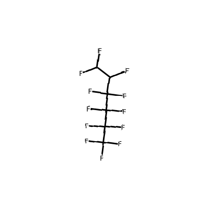 FC(F)C(F)C(F)(F)C(F)(F)C(F)(F)C(F)(F)F